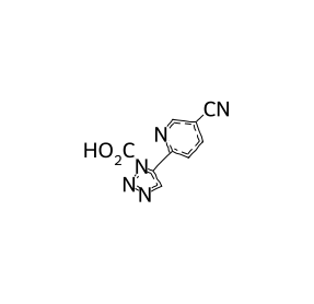 N#Cc1ccc(-c2cnnn2C(=O)O)nc1